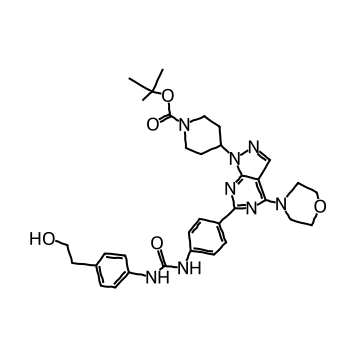 CC(C)(C)OC(=O)N1CCC(n2ncc3c(N4CCOCC4)nc(-c4ccc(NC(=O)Nc5ccc(CCO)cc5)cc4)nc32)CC1